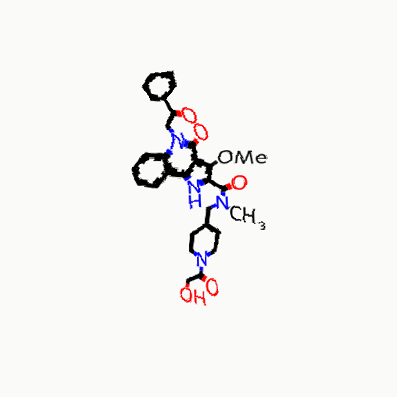 COc1c(C(=O)N(C)CC2CCN(C(=O)CO)CC2)[nH]c2c1c(=O)n(CC(=O)c1ccccc1)c1ccccc21